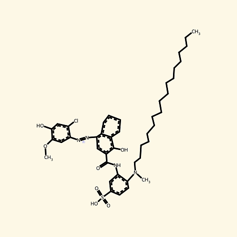 CCCCCCCCCCCCCCCCCCN(C)c1ccc(S(=O)(=O)O)cc1NC(=O)c1cc(/N=N/c2cc(OC)c(O)cc2Cl)c2ccccc2c1O